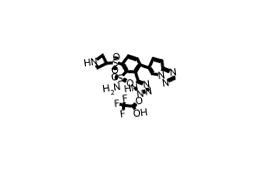 NS(=O)(=O)c1c(S(=O)(=O)C2CNC2)ccc(-c2ccc3ncnn3c2)c1-c1nnn[nH]1.O=C(O)C(F)(F)F